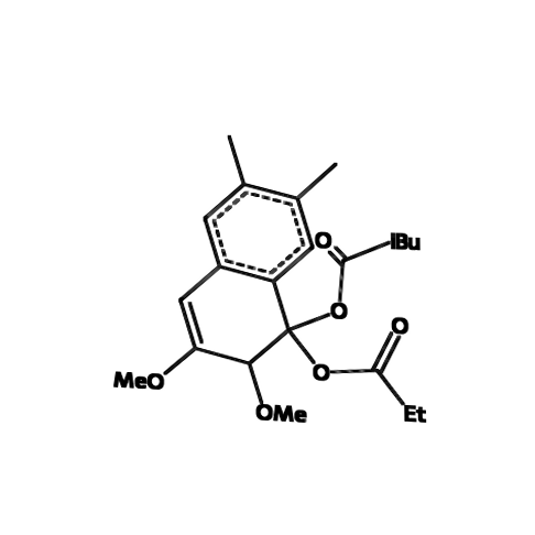 CCC(=O)OC1(OC(=O)C(C)CC)c2cc(C)c(C)cc2C=C(OC)C1OC